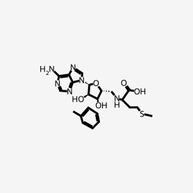 CSCCC(NC[C@H]1O[C@@H](n2cnc3c(N)ncnc32)[C@H](O)[C@@H]1O)C(=O)O.Cc1ccccc1